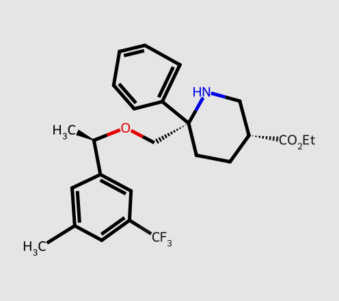 CCOC(=O)[C@@H]1CC[C@@](CO[C@H](C)c2cc(C)cc(C(F)(F)F)c2)(c2ccccc2)NC1